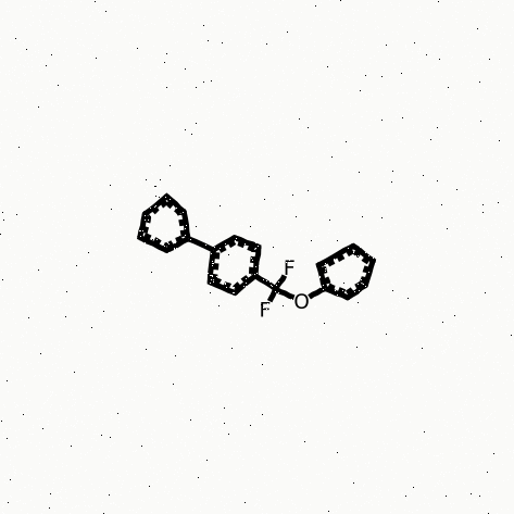 FC(F)(Oc1ccccc1)c1ccc(-c2ccccc2)cc1